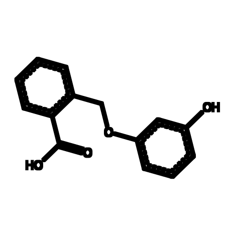 O=C(O)c1ccccc1COc1cccc(O)c1